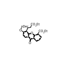 CCCCCCCCCCOc1ccc2c(=O)c3cccc(C(=O)OCC)c3oc2c1CCC(=O)OCC